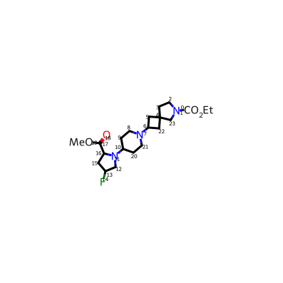 CCOC(=O)N1CCC2(CC(N3CCC(N4CC(F)CC4C(=O)OC)CC3)C2)C1